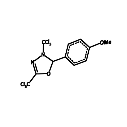 COc1ccc(C2OC(C(Cl)(Cl)Cl)=NN2C(Cl)(Cl)Cl)cc1